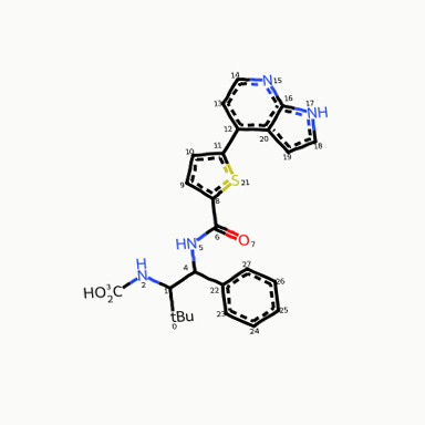 CC(C)(C)C(NC(=O)O)C(NC(=O)c1ccc(-c2ccnc3[nH]ccc23)s1)c1ccccc1